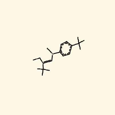 CC/C(=C\N(C)c1ccc(C(C)(C)C)cc1)C(C)(C)C